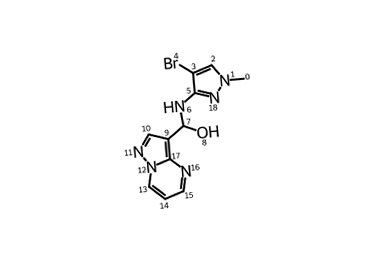 Cn1cc(Br)c(NC(O)c2cnn3cccnc23)n1